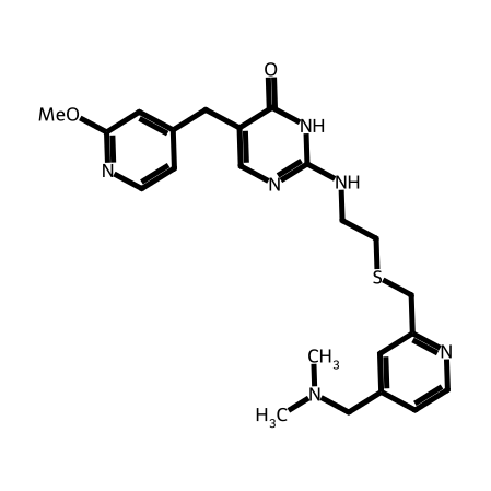 COc1cc(Cc2cnc(NCCSCc3cc(CN(C)C)ccn3)[nH]c2=O)ccn1